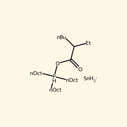 CCCCCCCC[PH](CCCCCCCC)(CCCCCCCC)OC(=O)C(CC)CCCC.[SnH2]